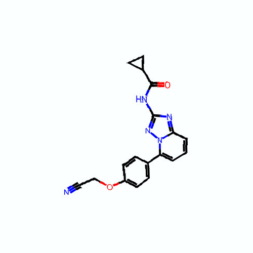 N#CCOc1ccc(-c2cccc3nc(NC(=O)C4CC4)nn23)cc1